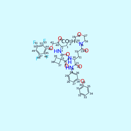 O=C(O)CC(NC(=O)C1(C(=O)NC(CCC(=O)N2CCOCC2)C(=O)Nc2cccc(Oc3ccccc3)c2)CCC1)C(=O)COc1c(F)c(F)cc(F)c1F